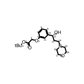 CC(C)(C)OC(=O)COc1cccc([C@H](O)CCN2CCOCC2)c1